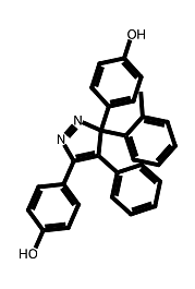 Cc1ccccc1C1(c2ccc(O)cc2)N=NC(c2ccc(O)cc2)=C1c1ccccc1